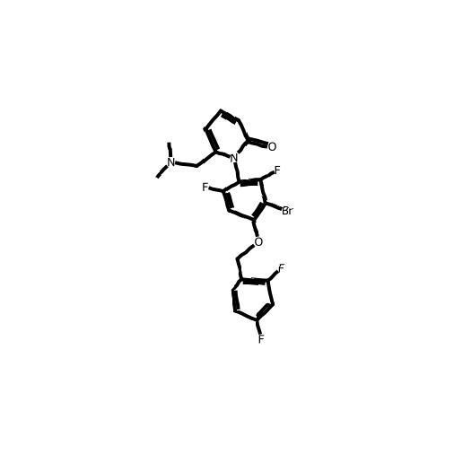 CN(C)Cc1cccc(=O)n1-c1c(F)cc(OCc2ccc(F)cc2F)c(Br)c1F